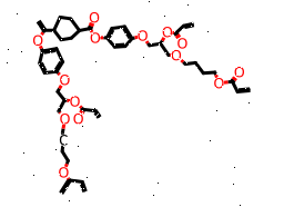 C=CC(=C)OCCCCOCC(COc1ccc(OC(=C)C2CCC(C(=O)Oc3ccc(OCC(COCCCCOC(=O)C=C)OC(=O)C=C)cc3)CC2)cc1)OC(=O)C=C